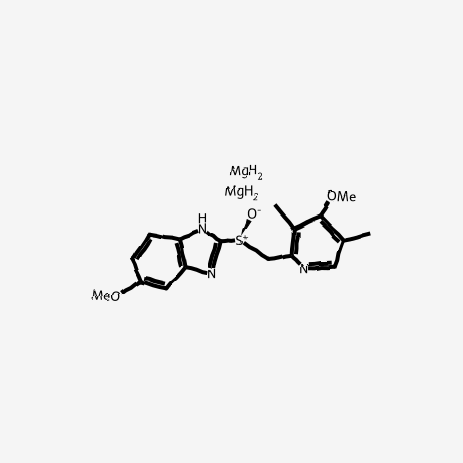 COc1ccc2[nH]c([S@@+]([O-])Cc3ncc(C)c(OC)c3C)nc2c1.[MgH2].[MgH2]